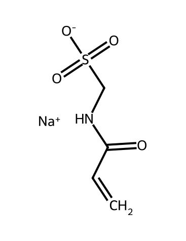 C=CC(=O)NCS(=O)(=O)[O-].[Na+]